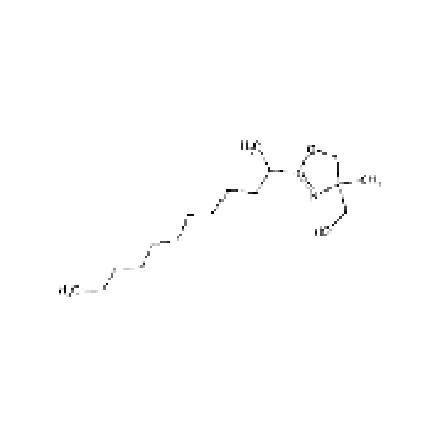 CCCCCCCCCCC(C)C1=NC(C)(CO)CO1